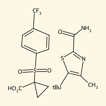 Cc1nc(C(N)=O)sc1C(C)(C)C.O=C(O)C1(S(=O)(=O)c2ccc(C(F)(F)F)cc2)CC1